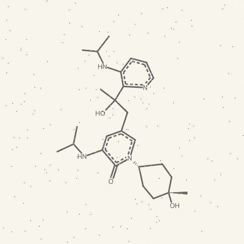 CC(C)Nc1cccnc1C(C)(O)Cc1cc(NC(C)C)c(=O)n([C@H]2CC[C@@](C)(O)CC2)c1